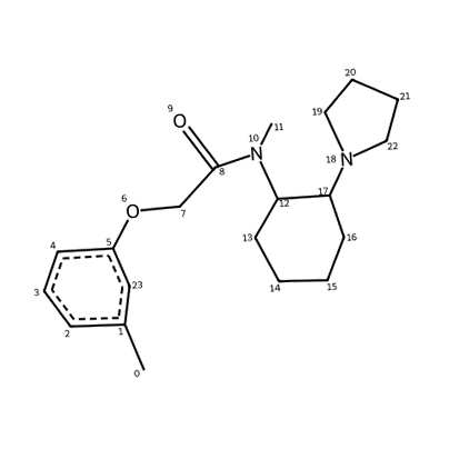 Cc1cccc(OCC(=O)N(C)C2CCCCC2N2CCCC2)c1